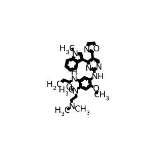 C=CC(=O)Nc1cc(Nc2ncc(-c3ncco3)c(-c3cn(C)c4ccccc34)n2)c(OC)cc1N(C)CCN(C)C